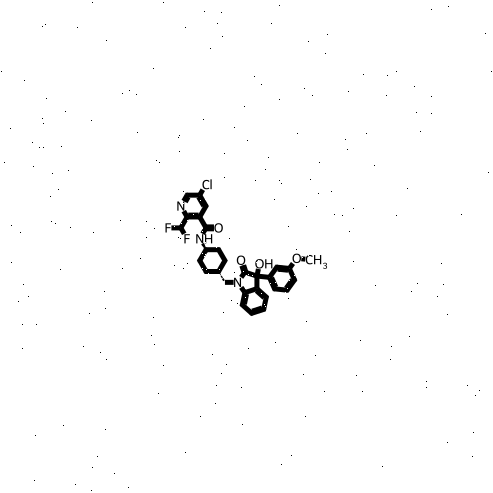 COc1cccc(C2(O)C(=O)N(C[C@H]3CC[C@H](NC(=O)c4cc(Cl)cnc4C(F)F)CC3)c3ccccc32)c1